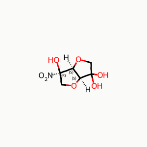 O=[N+]([O-])[C@@]1(O)CO[C@H]2[C@@H]1OCC2(O)O